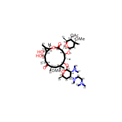 CO[C@]1(C)C[C@H](O[C@H]2[C@H](C)[C@@H](O[C@@H]3O[C@H](C)C[C@@H](N(C)CCN(C)C)[C@@H]3N(C)C)[C@@](C)(OC)C[C@@H](C)C(=O)[C@H](C)[C@@H](O)[C@@]3(O)C(C)[C@H]3OC(=O)[C@@H]2C)O[C@@H](C)[C@@H]1OC(C)=O